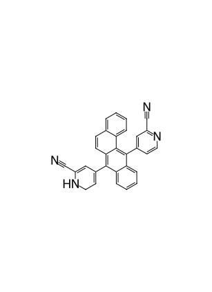 N#CC1=CC(c2c3ccccc3c(-c3ccnc(C#N)c3)c3c2ccc2ccccc23)=CCN1